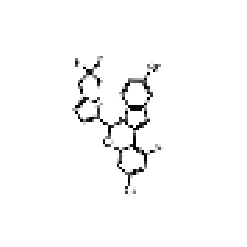 Fc1cc(Cl)cc2c1-c1cc3cc(Br)ccc3n1C(c1ccc(CC(F)(F)F)s1)O2